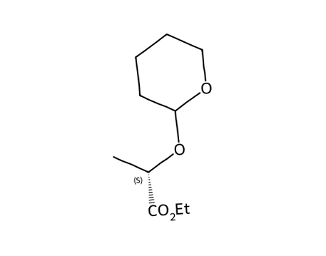 CCOC(=O)[C@H](C)OC1CCCCO1